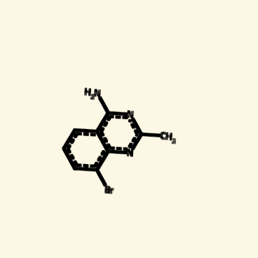 Cc1nc(N)c2cccc(Br)c2n1